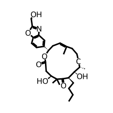 CCCC[C@H]1C(=O)C(C)(C)[C@@H](O)CC(=O)O[C@H](c2ccc3oc(CO)nc3c2)C/C=C(\C)CCC[C@H](C)[C@@H]1O